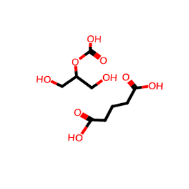 O=C(O)CCCC(=O)O.O=C(O)OC(CO)CO